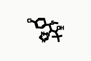 CSC(c1ccc(Cl)cc1)C(C(O)C(C)(C)C)n1cncn1